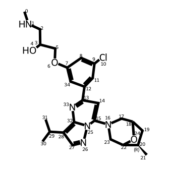 CNCC(O)COc1cc(Cl)cc(-c2cc(N3CC4C[C@@H](C)C(C3)O4)n3ncc(C(C)C)c3n2)c1